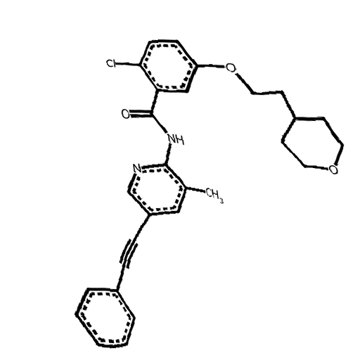 Cc1cc(C#Cc2ccccc2)cnc1NC(=O)c1cc(OCCC2CCOCC2)ccc1Cl